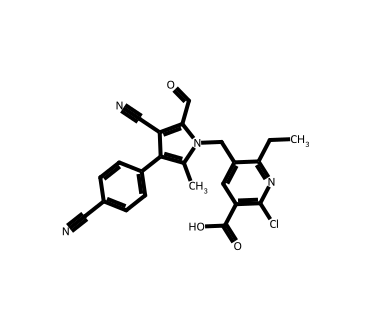 CCc1nc(Cl)c(C(=O)O)cc1Cn1c(C)c(-c2ccc(C#N)cc2)c(C#N)c1C=O